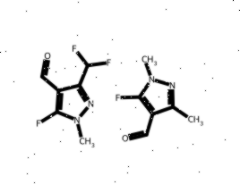 Cc1nn(C)c(F)c1C=O.Cn1nc(C(F)F)c(C=O)c1F